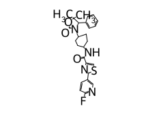 CC1(C)OC(=O)N(C2CCC(NC(=O)c3csc(-c4ccc(F)nc4)n3)CC2)C1c1ccccc1